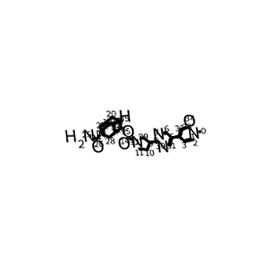 Cn1ccc(-c2cnc(C3CCN(C(=O)OC4C5CC6C[C@H]4C[C@@](C(N)=O)(C6)C5)C3)nc2)cc1=O